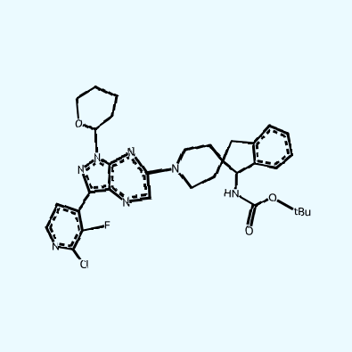 CC(C)(C)OC(=O)NC1c2ccccc2CC12CCN(c1cnc3c(-c4ccnc(Cl)c4F)nn(C4CCCCO4)c3n1)CC2